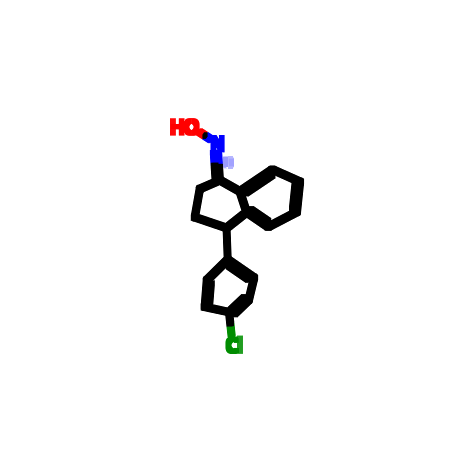 O/N=C1\CCC(c2ccc(Cl)cc2)c2ccccc21